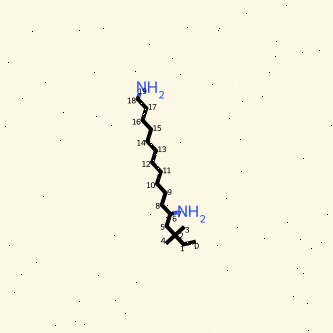 CCC(C)(C)CC(N)CCCCCCCCCCCN